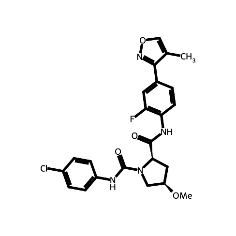 CO[C@@H]1C[C@H](C(=O)Nc2ccc(-c3nocc3C)cc2F)N(C(=O)Nc2ccc(Cl)cc2)C1